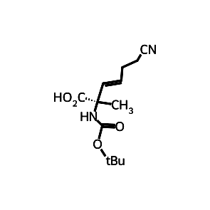 CC(C)(C)OC(=O)N[C@](C)(C=CCCC#N)C(=O)O